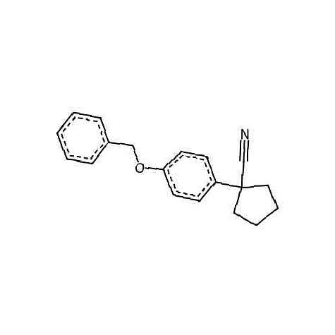 N#CC1(c2ccc(OCc3ccccc3)cc2)CCCC1